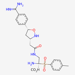 Cc1ccc(S(=O)(=O)[C@@](N)(CNC(=O)C[C@@H]2C[C@H](c3ccc(C(=N)N)cc3)ON2)C(=O)O)cc1